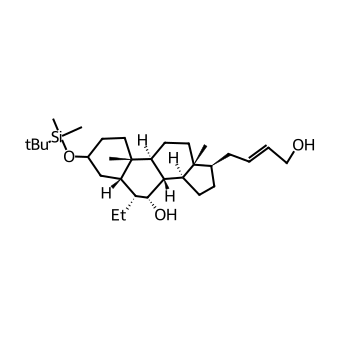 CC[C@H]1[C@@H](O)[C@@H]2[C@H](CC[C@]3(C)[C@@H](C/C=C/CO)CC[C@@H]23)[C@@]2(C)CCC(O[Si](C)(C)C(C)(C)C)C[C@@H]12